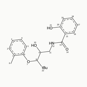 Cc1ccccc1OC(C(O)CNC(=O)c1ccccc1O)C(C)(C)C